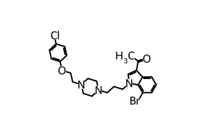 CC(=O)c1cn(CCCN2CCN(CCOc3ccc(Cl)cc3)CC2)c2c(Br)cccc12